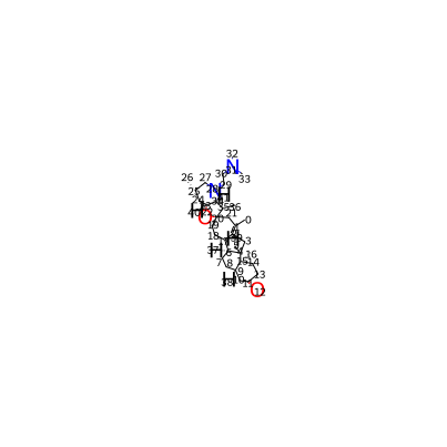 CC1=C2C[C@@]3(C)[C@@H](CC[C@@H]4CC(=O)CC[C@@]43C)[C@@H]2CC[C@@]2(C1)O[C@@H]1C[C@H](C)CN(CCN(C)C)[C@H]1[C@H]2C